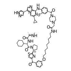 CN[C@@H](C)C(=O)NC(C(=O)N1CCC[C@H]1c1nc(C(=O)c2cccc(OCCCCCCCCCNC(=O)CN3CCN(C(=O)c4ccc(Nc5nc(C6CC6)cn6c(-c7cn[nH]c7)cnc56)c(F)c4)CC3)c2)cs1)C1CCCCC1